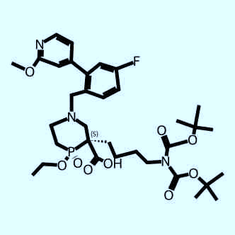 CCOP1(=O)CCN(Cc2ccc(F)cc2-c2ccnc(OC)c2)C[C@@]1(CCCCN(C(=O)OC(C)(C)C)C(=O)OC(C)(C)C)C(=O)O